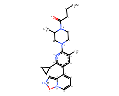 COCCC(=O)N1CCN(c2nc(C3CC3)c(C3=CC=CN4ONC=C34)cc2C#N)CC1C